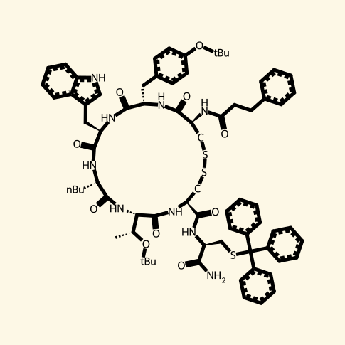 CCCC[C@@H]1NC(=O)[C@@H](Cc2c[nH]c3ccccc23)NC(=O)[C@H](Cc2ccc(OC(C)(C)C)cc2)NC(=O)[C@@H](NC(=O)CCc2ccccc2)CSSC[C@@H](C(=O)N[C@@H](CSC(c2ccccc2)(c2ccccc2)c2ccccc2)C(N)=O)NC(=O)[C@H]([C@@H](C)OC(C)(C)C)NC1=O